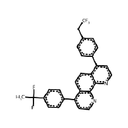 CC(F)(F)c1ccc(-c2ccnc3c2ccc2c(-c4ccc(CC(F)(F)F)cc4)ccnc23)cc1